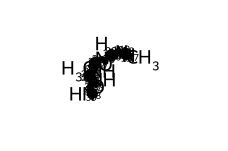 Cc1ccc(NC(=O)c2ccc(CN3CCN(C)CC3)cc2)cc1Nc1cccc2c1NC(=O)C2=Cc1ccc[nH]1